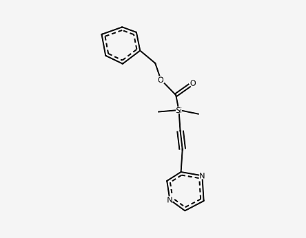 C[Si](C)(C#Cc1cnccn1)C(=O)OCc1ccccc1